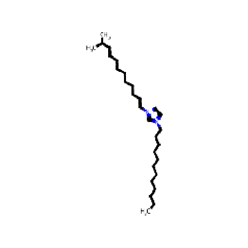 CCCCCCCCCCCCn1cc[n+](CCCCCCCCCCC(C)C)c1